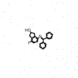 OC1Cc2c(F)ccc(N=C(c3ccccc3)c3ccccc3)c2C1